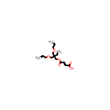 C=CCOCC(CC)(COCC=C)COC(=O)C=CC(=O)O